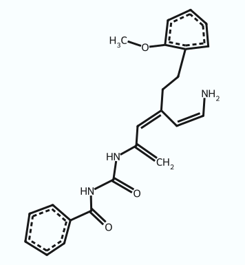 C=C(/C=C(\C=C/N)CCc1ccccc1OC)NC(=O)NC(=O)c1ccccc1